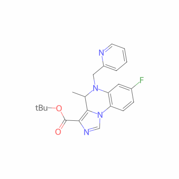 CC1c2c(C(=O)OC(C)(C)C)ncn2-c2ccc(F)cc2N1Cc1ccccn1